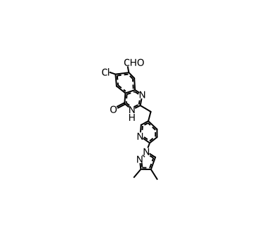 Cc1cn(-c2ccc(Cc3nc4cc(C=O)c(Cl)cc4c(=O)[nH]3)cn2)nc1C